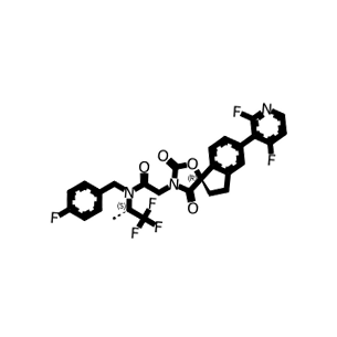 C[C@H](N(Cc1ccc(F)cc1)C(=O)CN1C(=O)O[C@@]2(CCc3cc(-c4c(F)ccnc4F)ccc32)C1=O)C(F)(F)F